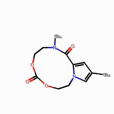 CC(C)(C)c1cc2n(c1)CCOC(=O)OCCN(C(C)(C)C)C2=O